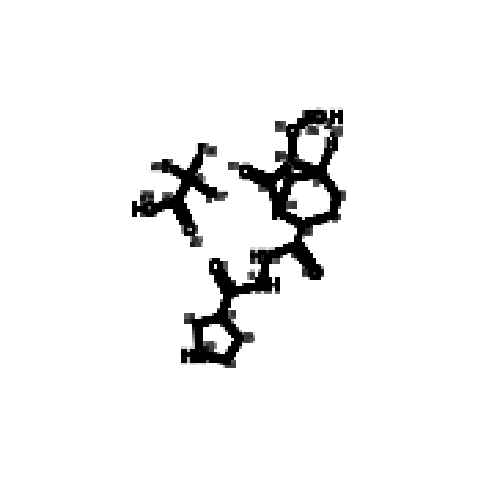 O=C(NNC(=O)[C@@H]1CC[C@@H]2CN1C(=O)N2OS(=O)(=O)O)C1CCNC1.O=C(O)C(F)(F)F